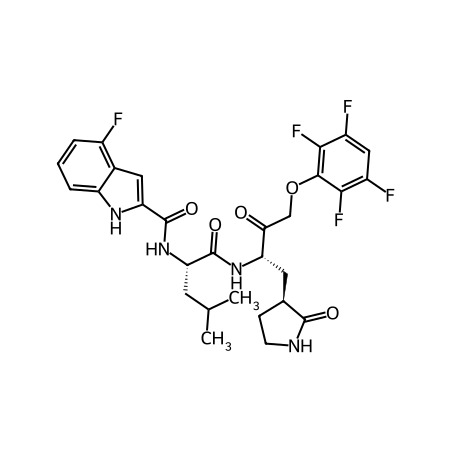 CC(C)C[C@H](NC(=O)c1cc2c(F)cccc2[nH]1)C(=O)N[C@@H](C[C@@H]1CCNC1=O)C(=O)COc1c(F)c(F)cc(F)c1F